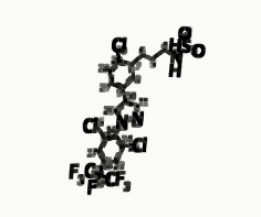 O=[SH](=O)NCCCc1cc(-c2cnn(-c3c(Cl)cc(C(F)(C(F)(F)F)C(F)(F)F)cc3Cl)c2)ccc1Cl